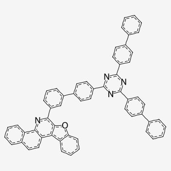 c1ccc(-c2ccc(-c3nc(-c4ccc(-c5ccccc5)cc4)nc(-c4ccc(-c5cccc(-c6nc7c8ccccc8ccc7c7c6oc6ccccc67)c5)cc4)n3)cc2)cc1